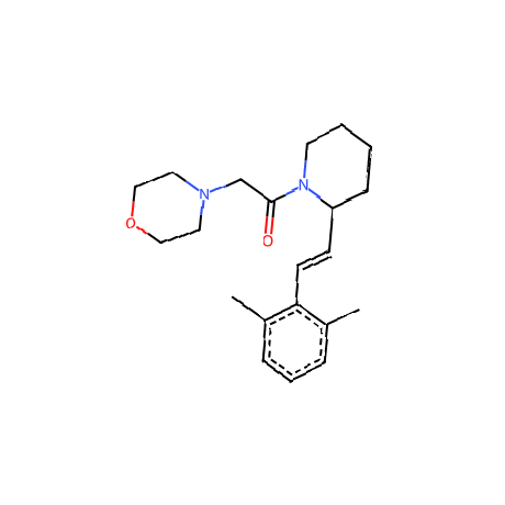 Cc1cccc(C)c1C=CC1CCCCN1C(=O)CN1CCOCC1